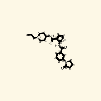 CCCN1CCC(NC(=O)c2ccsc2NC(=O)c2cccc(N3CCCC3=O)c2)CC1